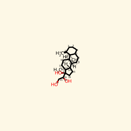 C=C1CCCC2CC[C@@H]3[C@@H](CC[C@@]4(C)[C@H]3CCC4(O)C(O)CO)[C@@]12C